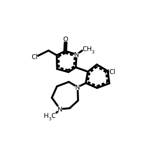 CN1CCCN(c2ccccc2-c2ccc(CCl)c(=O)n2C)CC1.Cl